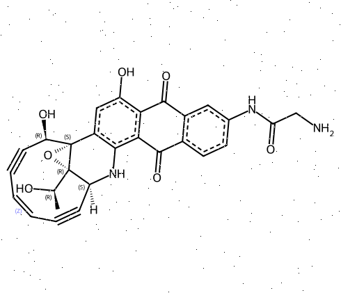 C[C@@H](O)[C@@]12O[C@]13c1cc(O)c4c(c1N[C@H]2C#C/C=C\C#C[C@H]3O)C(=O)c1ccc(NC(=O)CN)cc1C4=O